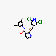 Cc1cc(C)cc(NC(=O)c2cccnc2SCc2cc(Cl)nc(Cl)c2)c1